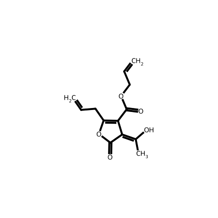 C=CCOC(=O)C1=C(CC=C)OC(=O)C1=C(C)O